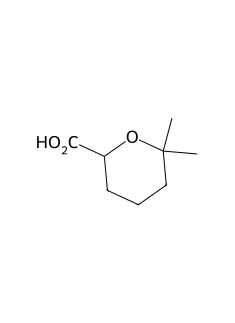 CC1(C)CCCC(C(=O)O)O1